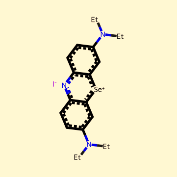 CCN(CC)c1ccc2nc3ccc(N(CC)CC)cc3[se+]c2c1.[I-]